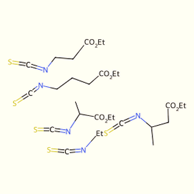 CCN=C=S.CCOC(=O)C(C)N=C=S.CCOC(=O)CC(C)N=C=S.CCOC(=O)CCCN=C=S.CCOC(=O)CCN=C=S